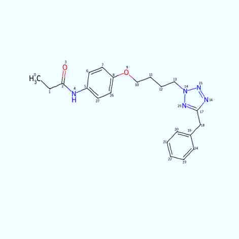 CCC(=O)Nc1ccc(OCCCCn2nnc(Cc3ccccc3)n2)cc1